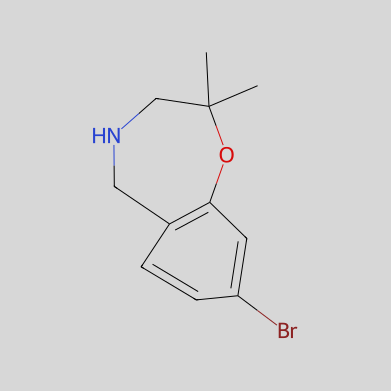 CC1(C)CNCc2ccc(Br)cc2O1